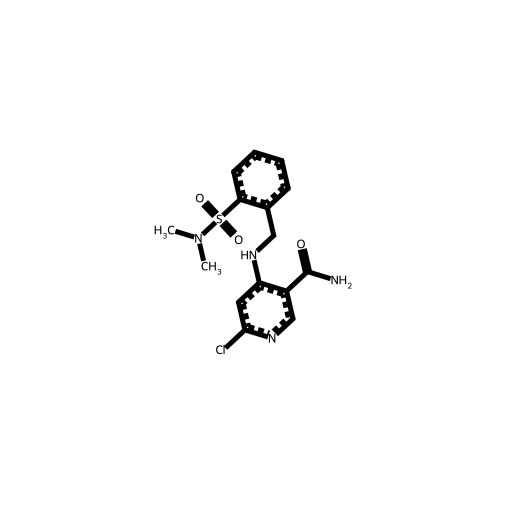 CN(C)S(=O)(=O)c1ccccc1CNc1cc(Cl)ncc1C(N)=O